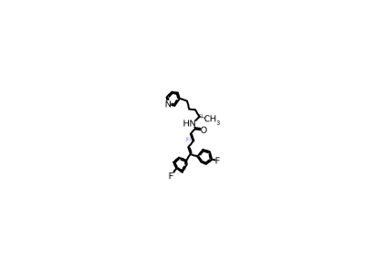 C[C@@H](CCCc1cccnc1)NC(=O)/C=C/C=C(c1ccc(F)cc1)c1ccc(F)cc1